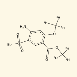 [2H]C([2H])([2H])OC(=O)c1cc(S(=O)(=O)CC)c(N)cc1OC([2H])([2H])[2H]